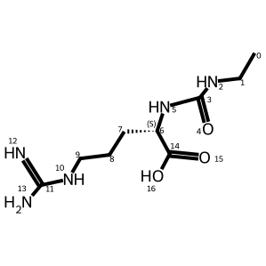 CCNC(=O)N[C@@H](CCCNC(=N)N)C(=O)O